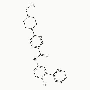 CCN1CCN(c2ccc(C(=O)Nc3ccc(Cl)c(-c4ccccn4)c3)cn2)CC1